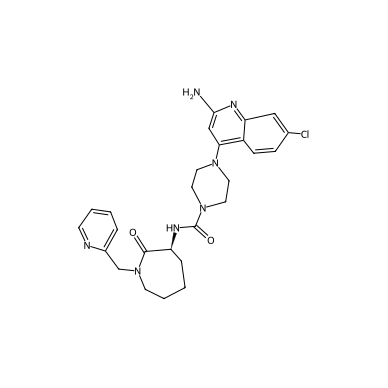 Nc1cc(N2CCN(C(=O)N[C@H]3CCCCN(Cc4ccccn4)C3=O)CC2)c2ccc(Cl)cc2n1